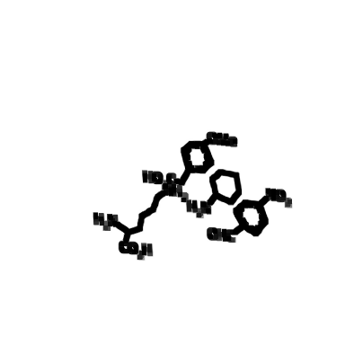 COc1ccc(CC(=O)O)cc1.NC1CCCCC1.NCCCCC(N)C(=O)O.O=Cc1ccc([N+](=O)[O-])cc1